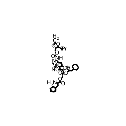 C=C1OC(COC(=O)Nc2ncnn3c([C@]4(C#N)O[C@H](COC(=O)[C@@H](N)Cc5ccccc5)[C@@H](OC(=O)CC5CCCCC5)[C@H]4O)ccc23)=C(C(C)C)O1